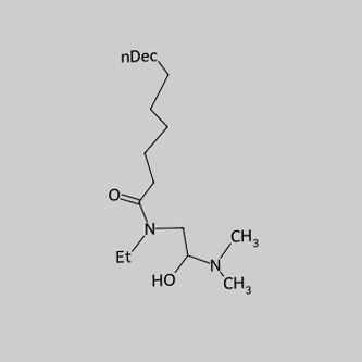 CCCCCCCCCCCCCCCC(=O)N(CC)CC(O)N(C)C